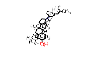 CC(C)=CCC/C(C)=C1/CC[C@@]2(C)[C@H]1CC[C@H]1[C@@]3(C)CC[C@H](O)C(C)(C)[C@@H]3CC[C@@]12C